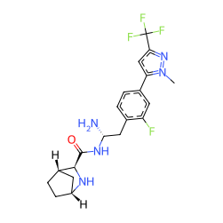 Cn1nc(C(F)(F)F)cc1-c1ccc(C[C@@H](N)NC(=O)[C@H]2N[C@@H]3CC[C@H]2C3)c(F)c1